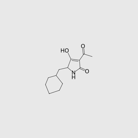 CC(=O)C1=C(O)C(CC2CCCCC2)NC1=O